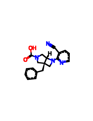 N#Cc1cccnc1N1C[C@]2(Cc3ccccc3)CN(C(=O)O)C[C@H]12